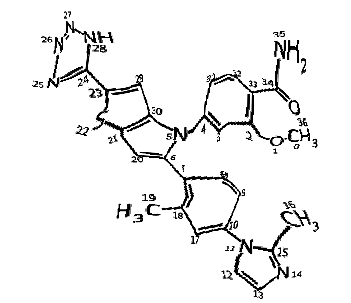 COc1cc(-n2c(-c3ccc(-n4ccnc4C)cc3C)cc3sc(-c4nnn[nH]4)cc32)ccc1C(N)=O